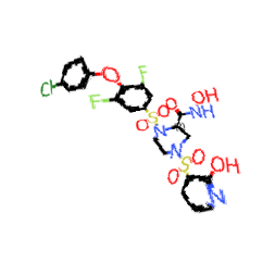 O=C(NO)[C@H]1CN(S(=O)(=O)c2cccnc2O)CCN1S(=O)(=O)c1cc(F)c(Oc2ccc(Cl)cc2)c(F)c1